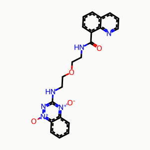 O=C(NCCOCCNc1n[n+]([O-])c2ccccc2[n+]1[O-])c1cccc2cccnc12